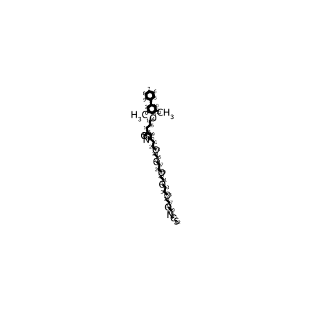 Cc1cc(-c2ccccc2)cc(C)c1OCCCc1cc(CCOCCOCCOCCOCCOCCOCN=C=S)no1